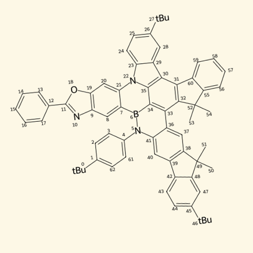 CC(C)(C)c1ccc(N2B3c4cc5nc(-c6ccccc6)oc5cc4-n4c5ccc(C(C)(C)C)cc5c5c6c(c(c3c54)-c3cc4c(cc32)-c2ccc(C(C)(C)C)cc2C4(C)C)C(C)(C)c2ccccc2-6)cc1